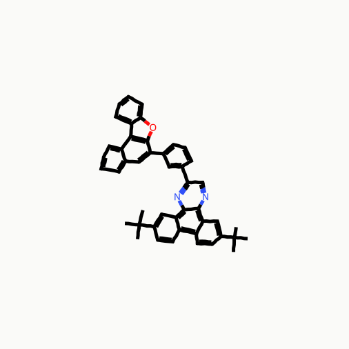 CC(C)(C)c1ccc2c3ccc(C(C)(C)C)cc3c3nc(-c4cccc(-c5cc6ccccc6c6c5oc5ccccc56)c4)cnc3c2c1